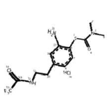 CN(C)C(=O)Sc1ccc(CCNC(=O)C(F)(F)F)cc1N.Cl